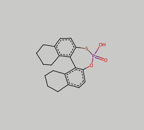 O=P1(O)Oc2ccc3c(c2-c2c(ccc4c2CCCC4)S1)CCCC3